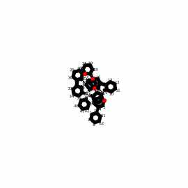 c1ccc(-c2ccc(-n3c4ccccc4c4cc(-c5ccccc5)c(-n5c6ccccc6c6cccc([Si](c7ccccc7)(c7ccccc7)c7ccccc7)c65)cc43)cc2)cc1